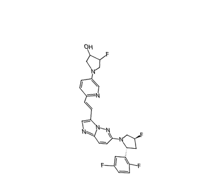 OC1CN(c2ccc(/C=C/c3cnc4ccc(N5C[C@@H](F)C[C@@H]5c5cc(F)ccc5F)nn34)nc2)CC1F